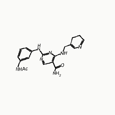 CC(=O)Nc1cccc(Nc2ncc(C(N)=O)c(NCC3=CN=CCC3)n2)c1